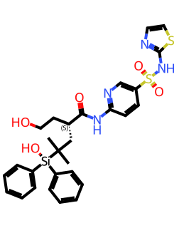 CC(C)(C[C@H](CCO)C(=O)Nc1ccc(S(=O)(=O)Nc2nccs2)cn1)[Si](O)(c1ccccc1)c1ccccc1